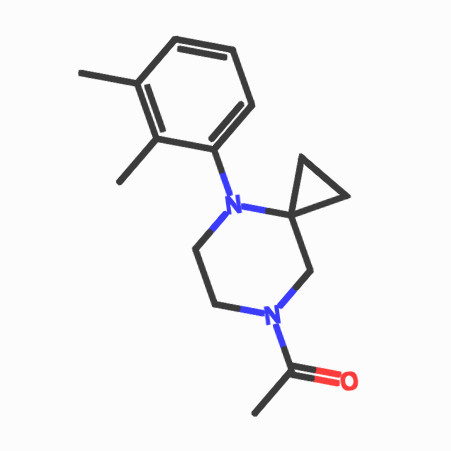 CC(=O)N1CCN(c2cccc(C)c2C)C2(CC2)C1